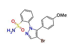 COc1ccc(-c2c(Br)cnn2-c2ccccc2S(N)(=O)=O)cc1